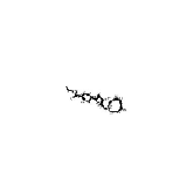 CCOC(=O)c1ccc(-c2ccc(CN3CCCCCC3)s2)cc1